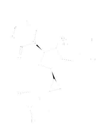 CCOP(=S)(OCC)C1CC1[C@H]1O[C@@H](n2ccc(=O)[nH]c2=O)C(OC)C1O[Si](C)(C)C(C)(C)C